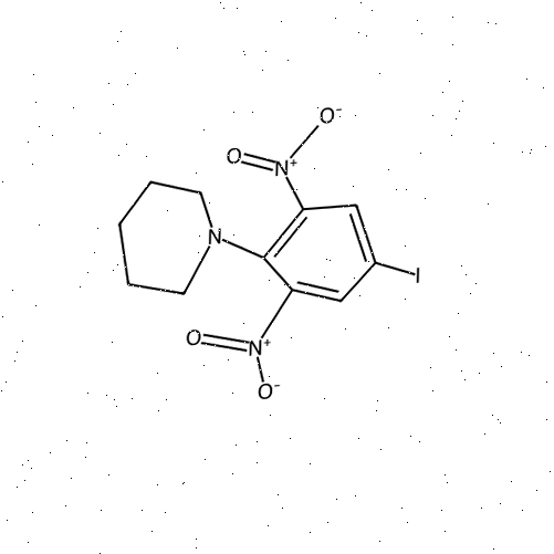 O=[N+]([O-])c1cc(I)cc([N+](=O)[O-])c1N1CCCCC1